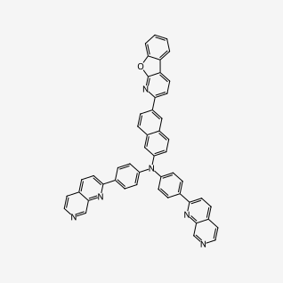 c1ccc2c(c1)oc1nc(-c3ccc4cc(N(c5ccc(-c6ccc7ccncc7n6)cc5)c5ccc(-c6ccc7ccncc7n6)cc5)ccc4c3)ccc12